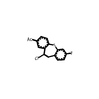 CC(=O)c1ccc2c(c1)C(Cl)Cc1ccc(F)cc1S2